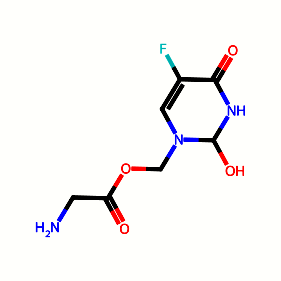 NCC(=O)OCN1C=C(F)C(=O)NC1O